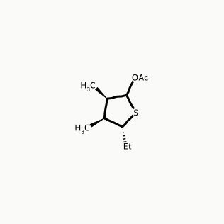 CC[C@H]1SC(OC(C)=O)[C@H](C)[C@@H]1C